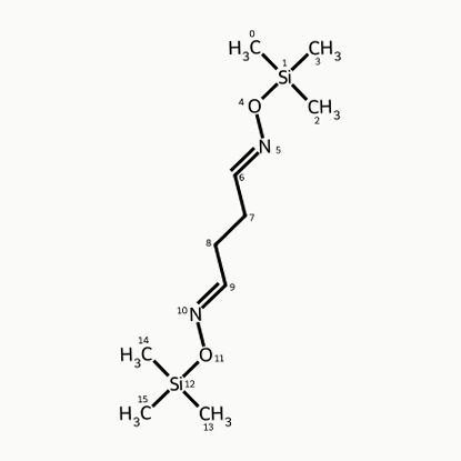 C[Si](C)(C)O/N=C/CC/C=N/O[Si](C)(C)C